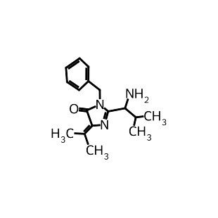 CC(C)=C1N=C(C(N)C(C)C)N(Cc2ccccc2)C1=O